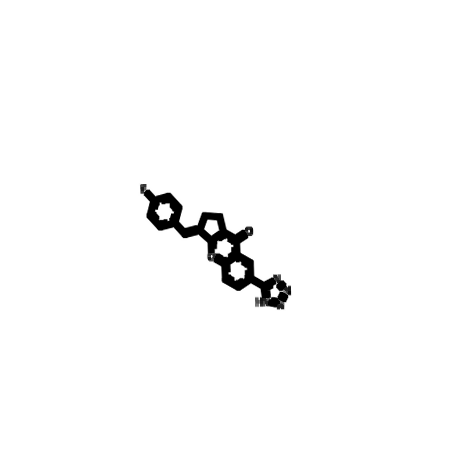 O=c1c2c(oc3ccc(-c4nnn[nH]4)cc13)C(=Cc1ccc(F)cc1)CC2